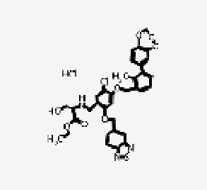 CCOC(=O)[C@@H](CO)NCc1cc(Cl)c(OCc2cccc(-c3ccc4c(c3)OCCO4)c2C)cc1OCc1ccc2nsnc2c1.Cl